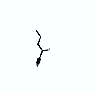 CCCC([S])C#N